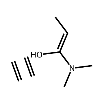 C=C.C=C.CC=C(O)N(C)C